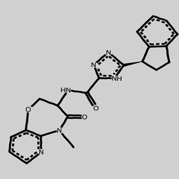 CN1C(=O)C(NC(=O)c2nnc([C@@H]3CCc4ccccc43)[nH]2)COc2cccnc21